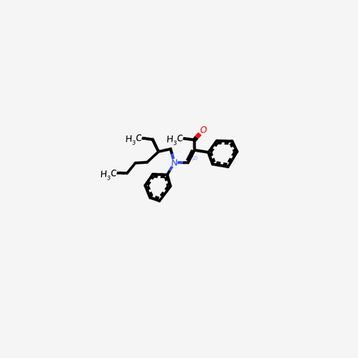 CCCCC(CC)CN(/C=C(\C(C)=O)c1ccccc1)c1ccccc1